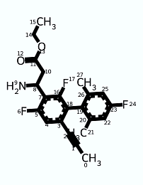 CC#Cc1cc(F)c(C(N)CC(=O)OCC)c(F)c1-c1c(C)cc(F)cc1C